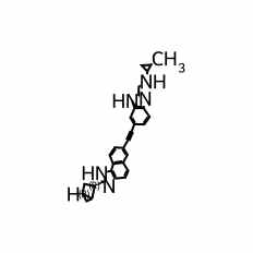 CC1CC1NCc1nc2ccc(C#Cc3ccc4c(ccc5nc([C@@H]6C[C@H]7CC76)[nH]c54)c3)cc2[nH]1